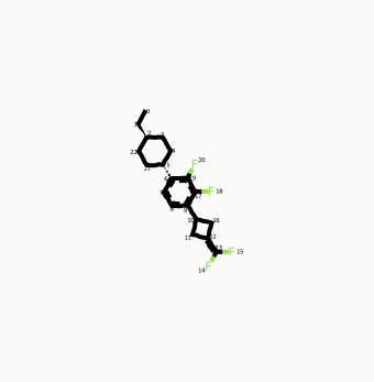 CC[C@H]1CC[C@H](c2ccc(C3CC(=C(F)F)C3)c(F)c2F)CC1